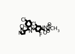 Cn1nccc1-c1nn(-c2cc(F)c(C(=O)NS(C)(=O)=O)cc2Cl)c2ccc(Cl)cc12